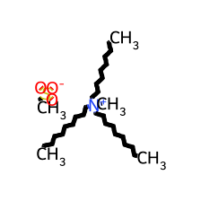 CCCCCCCCCC[N+](C)(CCCCCCCCCC)CCCCCCCCCC.CCS(=O)(=O)[O-]